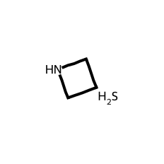 C1CNC1.S